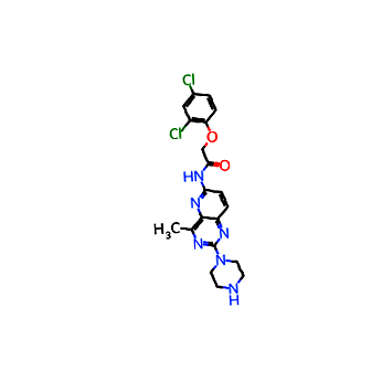 Cc1nc(N2CCNCC2)nc2ccc(NC(=O)COc3ccc(Cl)cc3Cl)nc12